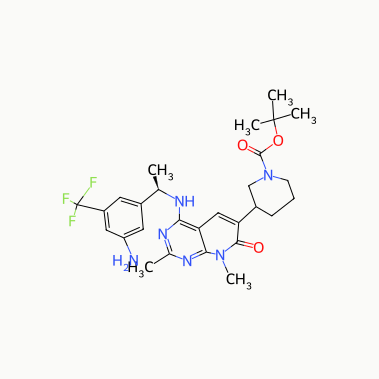 Cc1nc(N[C@H](C)c2cc(N)cc(C(F)(F)F)c2)c2cc(C3CCCN(C(=O)OC(C)(C)C)C3)c(=O)n(C)c2n1